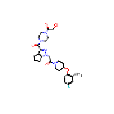 Cc1cc(F)ccc1OC1CCN(C(=O)Cn2nc(C(=O)N3CCN(C(=O)CO)CC3)c3c2CCC3)CC1